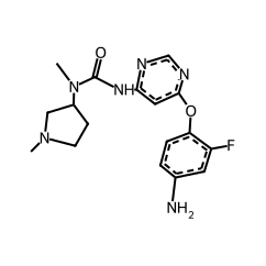 CN1CCC(N(C)C(=O)Nc2cc(Oc3ccc(N)cc3F)ncn2)C1